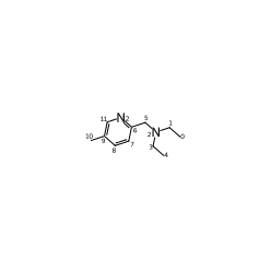 CCN(CC)Cc1ccc(C)cn1